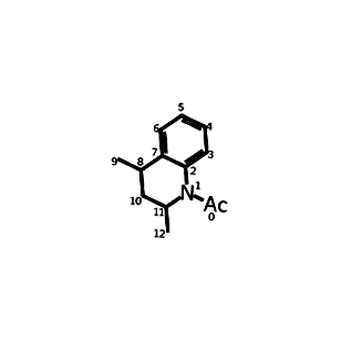 CC(=O)N1c2ccccc2C(C)CC1C